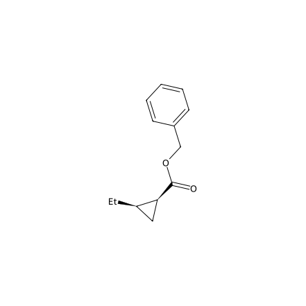 CC[C@@H]1C[C@@H]1C(=O)OCc1ccccc1